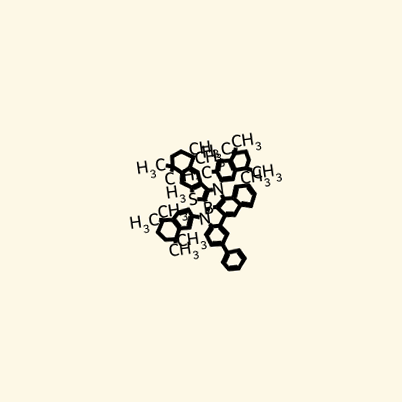 Cc1cc2c(cc1N1c3c4c(cc5ccccc35)-c3cc(-c5ccccc5)ccc3N(c3ccc5c(c3)C(C)(C)CCC5(C)C)B4c3sc4cc5c(cc4c31)C(C)(C)CCC5(C)C)C(C)(C)CCC2(C)C